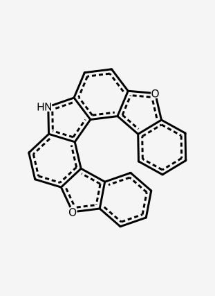 c1ccc2c(c1)oc1ccc3[nH]c4ccc5oc6ccccc6c5c4c3c12